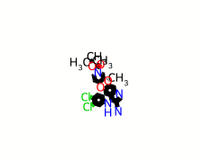 COc1cc2ncc(C#N)c(Nc3ccc(Cl)c(Cl)c3)c2cc1OC1CCN(C(=O)OC(C)(C)C)CC1